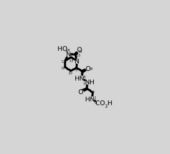 O=C(O)NCC(=O)NNC(=O)C1CCC2CN1C(=O)N2O